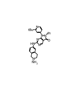 CC(C)n1c(=O)c2cnc(Nc3ccc4c(c3)CCN(N)C4)nc2n1-c1ccnc(C(C)(C)C)c1